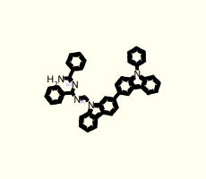 N/C(=N\C(/N=C/n1c2ccccc2c2ccc(-c3ccc4c(c3)c3ccccc3n4-c3ccccc3)cc21)c1ccccc1)c1ccccc1